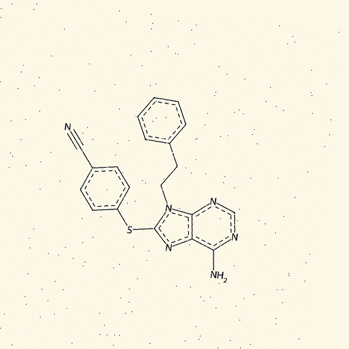 N#Cc1ccc(Sc2nc3c(N)ncnc3n2CCc2ccccc2)cc1